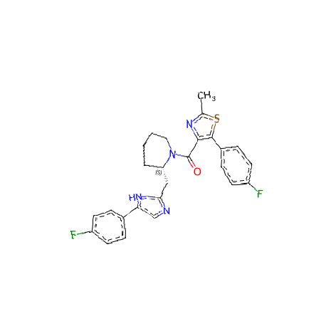 Cc1nc(C(=O)N2CCCC[C@H]2Cc2ncc(-c3ccc(F)cc3)[nH]2)c(-c2ccc(F)cc2)s1